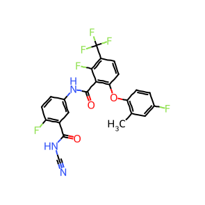 Cc1cc(F)ccc1Oc1ccc(C(F)(F)F)c(F)c1C(=O)Nc1ccc(F)c(C(=O)NC#N)c1